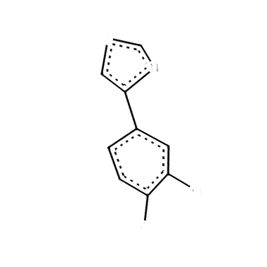 Clc1ccc(-c2cscn2)cc1Cl